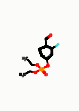 CCOP(=O)(OCC)Oc1ccc(C=O)c(F)c1